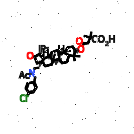 CC(=O)N(CC[C@@]12CC[C@]3(C)[C@H](CC[C@@H]4[C@@]5(C)CC[C@H](OC(=O)CC(C)(C)C(=O)O)C(C)(C)C5CC[C@]43C)C1=C(C(C)C)C(=O)C2)Cc1ccc(Cl)cc1